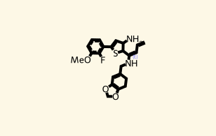 C=C/C=C(/NCC1=CC2=C(CC1)OCO2)C1SC(c2cccc(OC)c2F)=CC1N